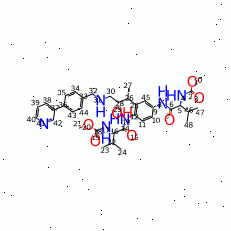 COC(=O)N[C@H](C(=O)Nc1ccc(NC(=O)[C@@H](NC(=O)OC)C(C)C)c([C@H](C)[C@H](O)CNCc2ccc(-c3cccnc3)cc2)c1)C(C)C